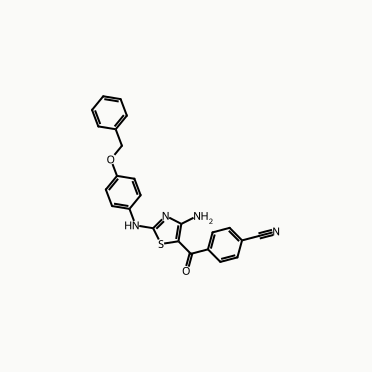 N#Cc1ccc(C(=O)c2sc(Nc3ccc(OCc4ccccc4)cc3)nc2N)cc1